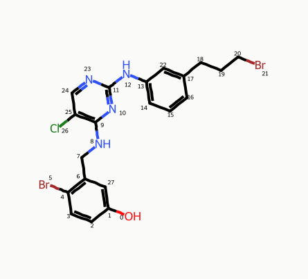 Oc1ccc(Br)c(CNc2nc(Nc3cccc(CCCBr)c3)ncc2Cl)c1